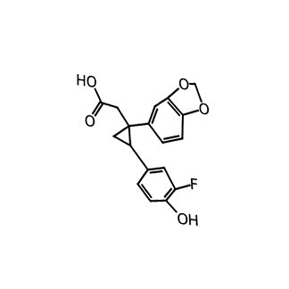 O=C(O)CC1(c2ccc3c(c2)OCO3)CC1c1ccc(O)c(F)c1